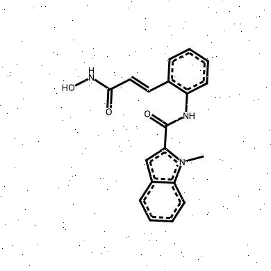 Cn1c(C(=O)Nc2ccccc2C=CC(=O)NO)cc2ccccc21